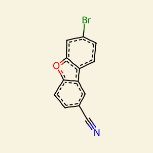 N#Cc1ccc2oc3cc(Br)ccc3c2c1